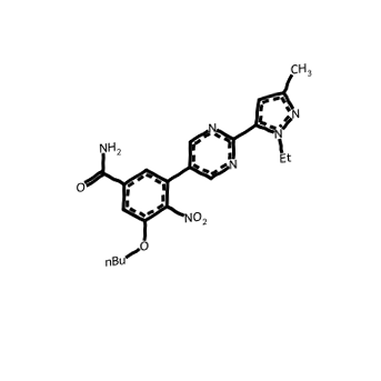 [CH2]CCCOc1cc(C(N)=O)cc(-c2cnc(-c3cc(C)nn3CC)nc2)c1[N+](=O)[O-]